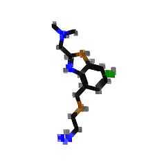 Br.CN(C)Cc1nc2c(CSCCN)cccc2s1